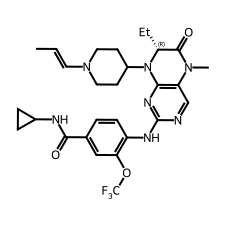 CC=CN1CCC(N2c3nc(Nc4ccc(C(=O)NC5CC5)cc4OC(F)(F)F)ncc3N(C)C(=O)[C@H]2CC)CC1